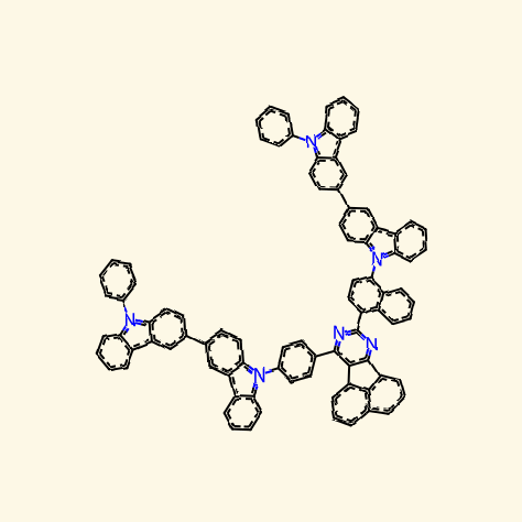 c1ccc(-n2c3ccccc3c3cc(-c4ccc5c(c4)c4ccccc4n5-c4ccc(-c5nc(-c6ccc(-n7c8ccccc8c8cc(-c9ccc%10c(c9)c9ccccc9n%10-c9ccccc9)ccc87)c7ccccc67)nc6c5-c5cccc7cccc-6c57)cc4)ccc32)cc1